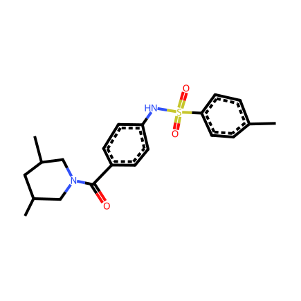 Cc1ccc(S(=O)(=O)Nc2ccc(C(=O)N3CC(C)CC(C)C3)cc2)cc1